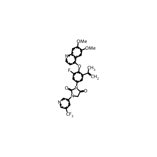 C=C(C)c1cc(N2C(=O)CN(c3cncc(C(F)(F)F)c3)C2=O)cc(F)c1Oc1ccnc2cc(OC)c(OC)cc12